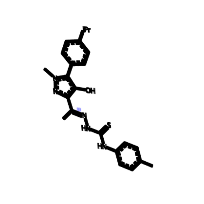 C/C(=N\NC(=S)Nc1ccc(C)cc1)c1nn(C)c(-c2ccc(C(C)C)cc2)c1O